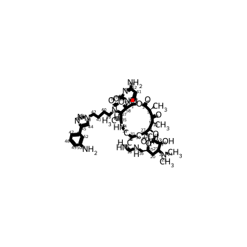 CC[C@H]1OC(=O)[C@H](C)C(=O)[C@H](C)[C@@H](O[C@@H]2O[C@H](CNC=N)CC(N(C)C)C2O)[C@](C)(OC)C[C@@H](C)CN[C@H](C)[C@H]2N(CCCCn3cc(-c4cccc(N)c4)nn3)C(=O)O[C@]12n1ccc(N)nc1=O